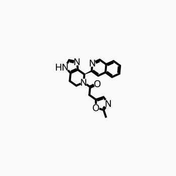 Cc1ncc(CC(=O)N2CCc3[nH]cnc3[C@H]2c2cc3ccccc3cn2)o1